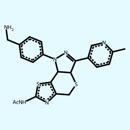 CC(=O)Nc1nc2c(s1)C1C(SC2)C(c2ccc(C)nc2)=NN1c1ccc(CN)cc1